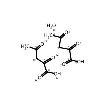 CC(=O)CC(=O)C(=O)O.CC(=O)CC(=O)C(=O)O.O